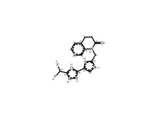 O=C1CCc2ccncc2N1Cc1ncc(-c2nnc(C(F)F)o2)s1